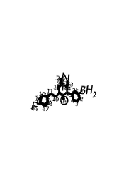 Bc1cccc(C2C(=O)C(CCc3ccc(F)cc3)Cc3cncn32)c1